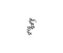 Cc1cc(Nc2ncnc3cnc(N4CC5[CH]C5(C(N)=O)C4)cc23)ccc1Oc1cccnc1